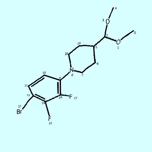 COC(OC)C1CCN(c2ccc(Br)c(F)c2F)CC1